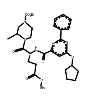 CCOC(=O)N1CCN(C(=O)[C@H](CCC(=O)OC(C)(C)C)NC(=O)c2cc(OC3CCCC3)nc(-c3ccccc3)n2)C(C)C1